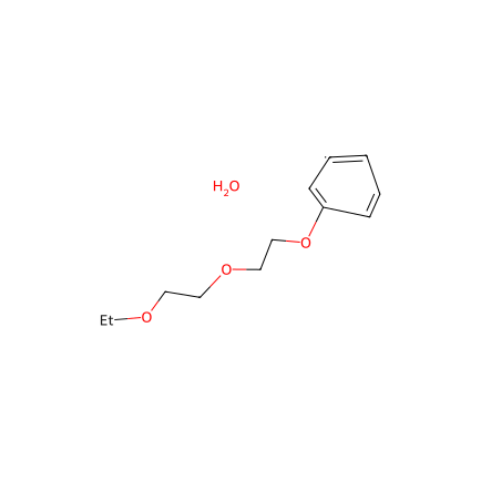 CCOCCOCCOc1c[c]ccc1.O